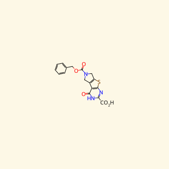 O=C(O)c1nc2sc3c(c2c(=O)[nH]1)CN(C(=O)OCc1ccccc1)C3